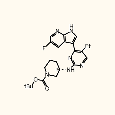 CCc1cnc(N[C@H]2CCCN(C(=O)OC(C)(C)C)C2)nc1-c1c[nH]c2ncc(F)cc12